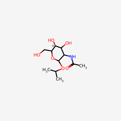 CC(=O)NC1C(OC(C)C)OC(CO)[C@@H](O)C1O